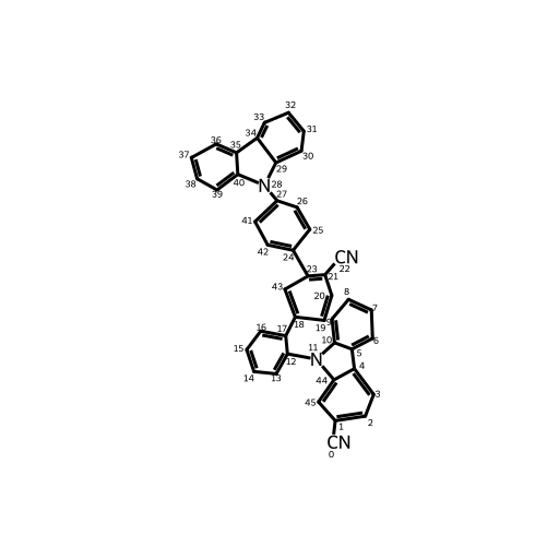 N#Cc1ccc2c3ccccc3n(-c3ccccc3-c3ccc(C#N)c(-c4ccc(-n5c6ccccc6c6ccccc65)cc4)c3)c2c1